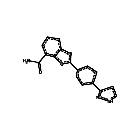 NC(=O)c1cccc2nc(-c3ccc(-c4cc[nH]n4)cc3)oc12